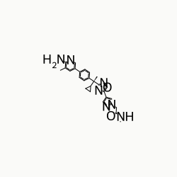 CNC(=O)Cn1cc(-c2nc([C@@](C)(c3ccc(-c4cnc(N)c(C)c4)cc3)C3CC3)no2)cn1